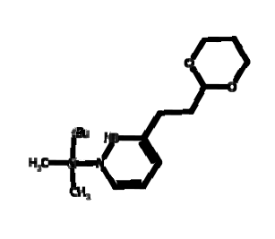 CC(C)(C)[Si](C)(C)N1BC(CCC2OCCCO2)=CC=C1